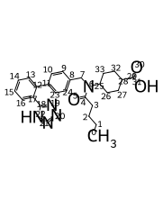 CCCCC(=O)N(Cc1ccc(-c2ccccc2-c2nnn[nH]2)cc1)C1CCC(C(=O)O)CC1